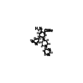 COc1cc(N2CCN(c3ccncn3)CC2)c(-c2cnn(C)c2)cc1N